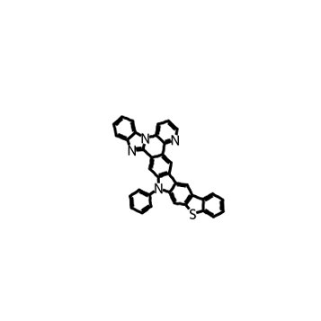 c1ccc(-n2c3cc4sc5ccccc5c4cc3c3cc4c(cc32)c2nc3ccccc3n2c2cccnc42)cc1